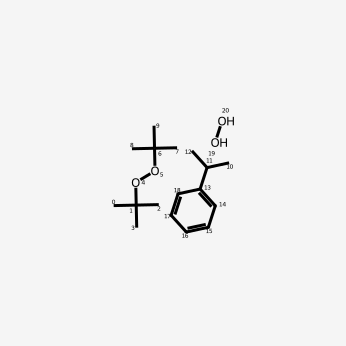 CC(C)(C)OOC(C)(C)C.CC(C)c1ccccc1.OO